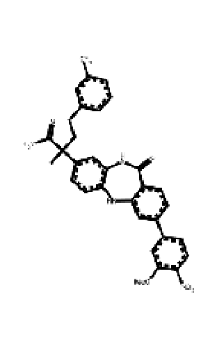 COc1cc(-c2ccc3c(c2)Nc2ccc(C(C)(CCc4cccc(C(F)(F)F)c4)C(N)=O)cc2NC3=O)ccc1[N+](=O)[O-]